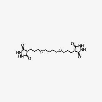 O=c1[nH][nH]c(=O)n1CCCOCCCCOCCCn1c(=O)[nH][nH]c1=O